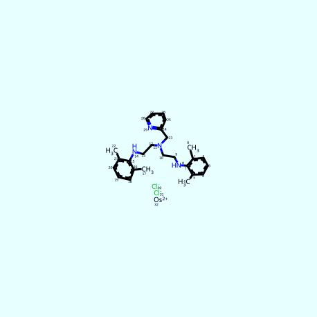 Cc1cccc(C)c1NCCN(CCNc1c(C)cccc1C)Cc1ccccn1.[Cl-].[Cl-].[Os+2]